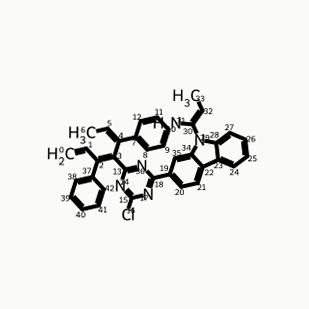 C=C/C(=C(\C(=C/C)c1ccccc1)c1nc(Cl)nc(-c2ccc3c4ccccc4n(/C(N)=C/C)c3c2)n1)c1ccccc1